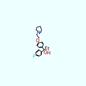 CCC(O)(c1ccc(F)cc1)c1ccc(OCCN2CCCCC2)cc1